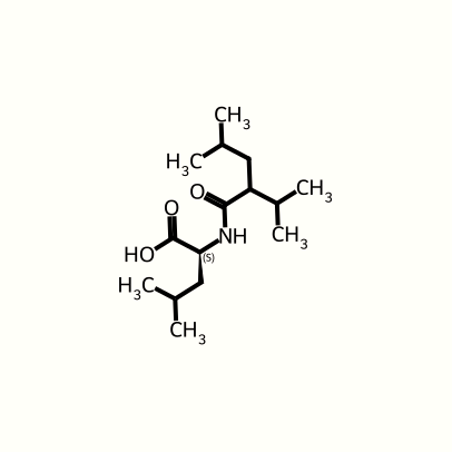 CC(C)CC(C(=O)N[C@@H](CC(C)C)C(=O)O)C(C)C